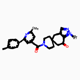 COc1cc(C(=O)N2CCC3(CC2)CC(=O)c2c(cnn2C(C)C)C3)cc(-c2ccc(C)cc2)n1